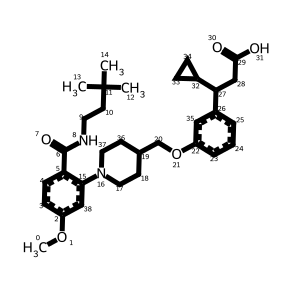 COc1ccc(C(=O)NCCC(C)(C)C)c(N2CCC(COc3cccc(C(CC(=O)O)C4CC4)c3)CC2)c1